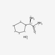 Cl.NC(=O)[C@H](N)C1CCCCC1